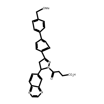 COCc1ccc(-c2ccc(C3=NN(C(=O)CCC(=O)O)C(c4ccc5nccnc5c4)C3)cc2)cc1